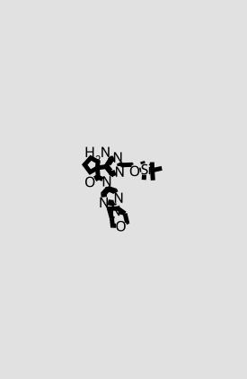 CC(C)(C)[Si](C)(C)OCc1nc(N)c2c(n1)N(c1cnc(N3C4CCC3COC4)nc1)C(=O)C21CCCC1